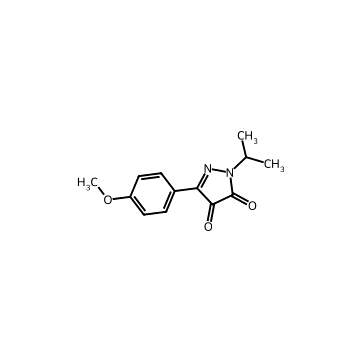 COc1ccc(C2=NN(C(C)C)C(=O)C2=O)cc1